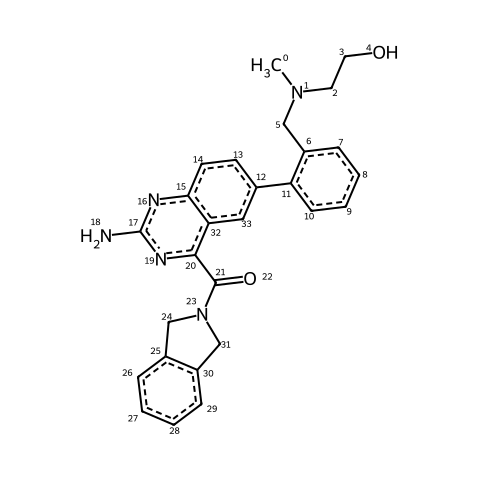 CN(CCO)Cc1ccccc1-c1ccc2nc(N)nc(C(=O)N3Cc4ccccc4C3)c2c1